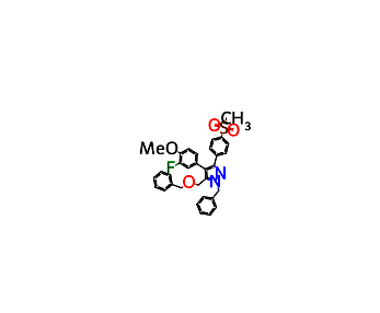 COc1ccc(-c2c(-c3ccc(S(C)(=O)=O)cc3)nn(Cc3ccccc3)c2COCc2ccccc2)cc1F